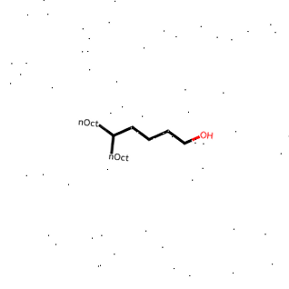 CCCCCCCCC(CCCCO)CCCCCCCC